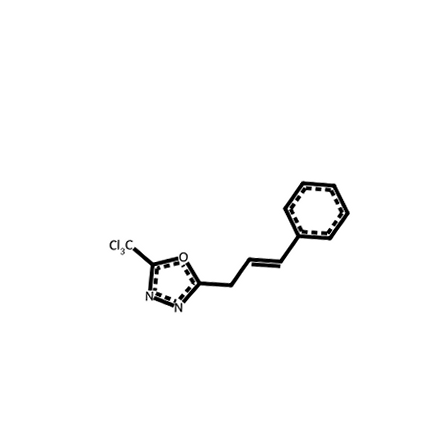 ClC(Cl)(Cl)c1nnc(CC=Cc2ccccc2)o1